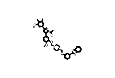 COc1ccc(-c2cc(-c3cc(C)c(C)c(OC)c3)nn2C(C)=O)cc1OCN1CCN(COc2cccc(-c3nc4ccccc4s3)c2)CC1